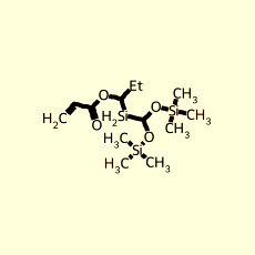 C=CC(=O)OC(CC)[SiH2]C(O[Si](C)(C)C)O[Si](C)(C)C